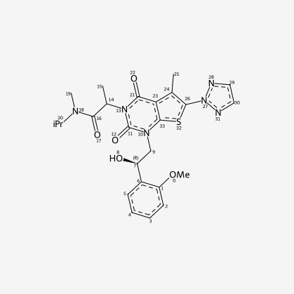 COc1ccccc1[C@@H](O)Cn1c(=O)n(C(C)C(=O)N(C)C(C)C)c(=O)c2c(C)c(-n3nccn3)sc21